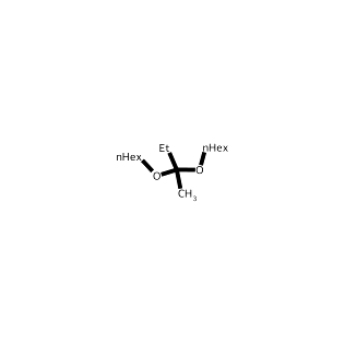 CCCCCCOC(C)(CC)OCCCCCC